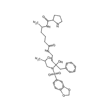 CC(C)CN(C(O)(CCNC(=O)CCCC(C)NC(=O)C1CCCN1)Cc1ccccc1)S(=O)(=O)c1ccc2c(c1)OCO2